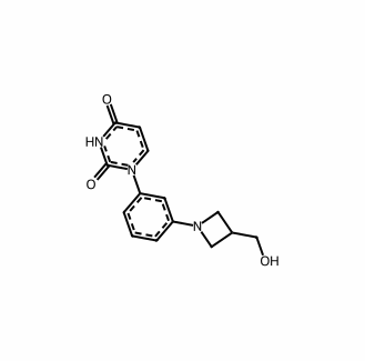 O=c1ccn(-c2cccc(N3CC(CO)C3)c2)c(=O)[nH]1